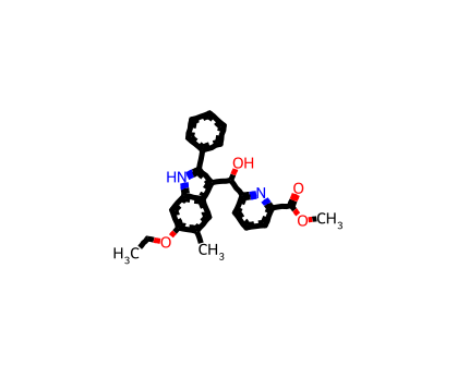 CCOc1cc2[nH]c(-c3ccccc3)c(C(O)c3cccc(C(=O)OC)n3)c2cc1C